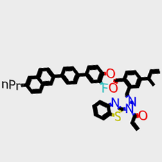 C=CC(=O)N(/N=C/c1cc(C(C)C=C)ccc1C(=O)Oc1ccc(-c2ccc(-c3ccc4cc(CCC)ccc4c3)cc2)cc1F)c1nc2ccccc2s1